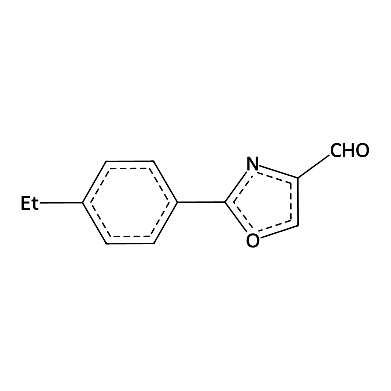 CCc1ccc(-c2nc(C=O)co2)cc1